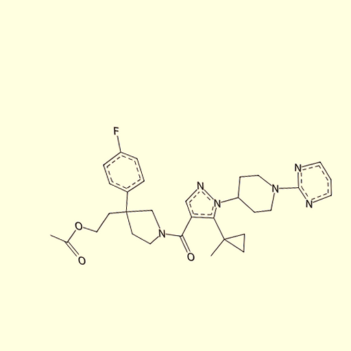 CC(=O)OCCC1(c2ccc(F)cc2)CCN(C(=O)c2cnn(C3CCN(c4ncccn4)CC3)c2C2(C)CC2)C1